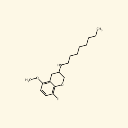 CCCCCCCCNC1COc2c(F)ccc(OC)c2C1